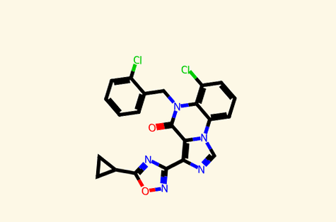 O=c1c2c(-c3noc(C4CC4)n3)ncn2c2cccc(Cl)c2n1Cc1ccccc1Cl